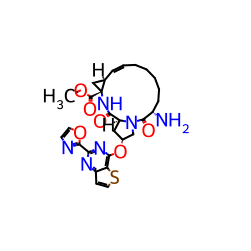 COC(=O)[C@@]12C[C@H]1/C=C\CCCCC[C@H](N)C(=O)N1C[C@H](Oc3nc(-c4ncco4)nc4ccsc34)C[C@H]1C(=O)N2